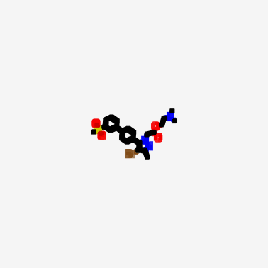 Cc1nn(CC(=O)OCCN(C)C)c(-c2ccc(-c3cccc(S(C)(=O)=O)c3)cc2)c1Br